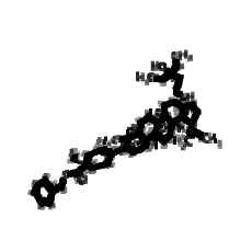 C=C(C)[C@@H]1CC[C@]2(NCCC(O)(CC)CC)CC[C@]3(C)[C@H](CC[C@@H]4[C@@]5(C)CC=C(C6=CC[C@](CF)(C(=O)OCc7ccccc7)CC6)C(C)(C)[C@@H]5CC[C@]43C)[C@@H]12